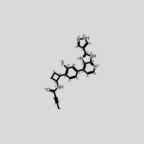 CC#CC(=O)NC1CCC1c1ccc(-c2ccnc3[nH]c(-c4cn[nH]c4)nc23)cc1F